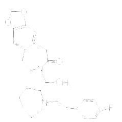 CC(C1CCCCCN1CCc1ccc(F)cc1)N1CCc2cc3c(cc2CC1=O)OCO3